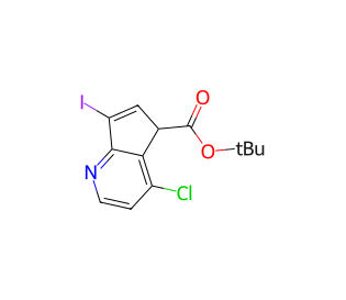 CC(C)(C)OC(=O)C1C=C(I)c2nccc(Cl)c21